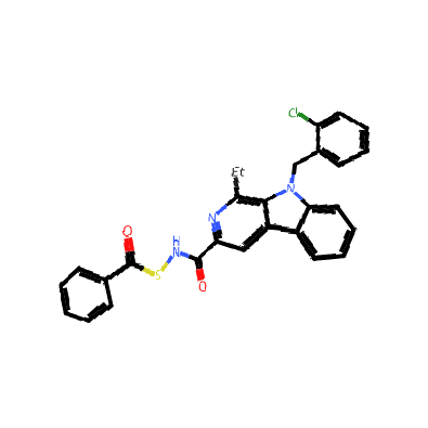 CCc1nc(C(=O)NSC(=O)c2ccccc2)cc2c3ccccc3n(Cc3ccccc3Cl)c12